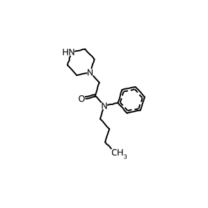 CCCCN(C(=O)CN1CCNCC1)c1ccccc1